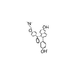 CN(C)CCOc1ccc(C(=O)c2c(-c3ccc(O)cc3)ccc3cc(O)ccc23)cc1